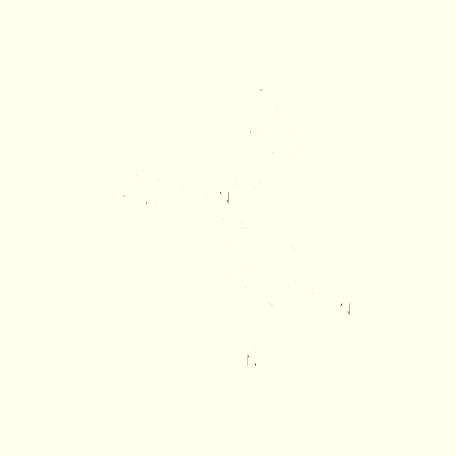 N#Cc1ccc(C2(c3ccc(C#N)cc3)c3ccccc3-c3c(-c4ccc(N(c5ccc(-c6cccc7c6oc6ccccc67)cc5)c5ccc(-c6cccc7c6oc6ccccc67)cc5)cc4)cccc32)cc1